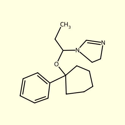 CCC(OC1(c2ccccc2)CCCCC1)N1C=NCC1